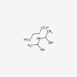 CC(O)NC(C)O.O=C(O)CCC(=O)O